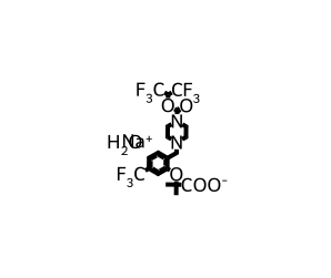 CC(C)(Oc1cc(C(F)(F)F)ccc1CN1CCN(C(=O)OC(C(F)(F)F)C(F)(F)F)CC1)C(=O)[O-].O.[Na+]